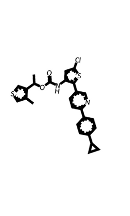 Cc1cscc1C(C)OC(=O)Nc1cc(Cl)sc1-c1ccc(-c2ccc(C3CC3)cc2)nc1